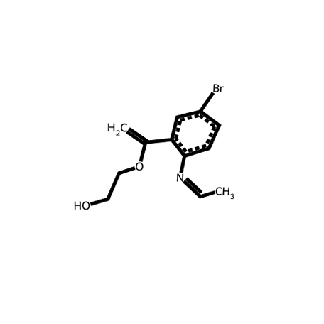 C=C(OCCO)c1cc(Br)ccc1/N=C\C